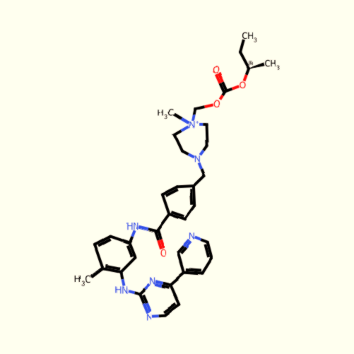 CC[C@@H](C)OC(=O)OC[N+]1(C)CCN(Cc2ccc(C(=O)Nc3ccc(C)c(Nc4nccc(-c5cccnc5)n4)c3)cc2)CC1